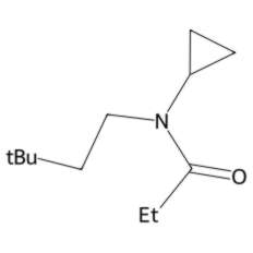 CCC(=O)N(CCC(C)(C)C)C1CC1